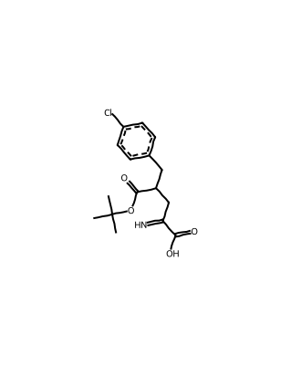 CC(C)(C)OC(=O)C(CC(=N)C(=O)O)Cc1ccc(Cl)cc1